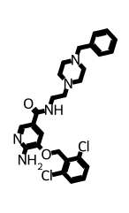 Nc1ncc(C(=O)NCCN2CCN(Cc3ccccc3)CC2)cc1OCc1c(Cl)cccc1Cl